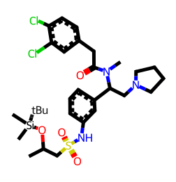 CC(CS(=O)(=O)Nc1cccc(C(CN2CCCC2)N(C)C(=O)Cc2ccc(Cl)c(Cl)c2)c1)O[Si](C)(C)C(C)(C)C